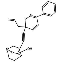 C=CCC1(C#CC2(O)CN3CCC2CC3)C=CC(c2ccccc2)=NC1